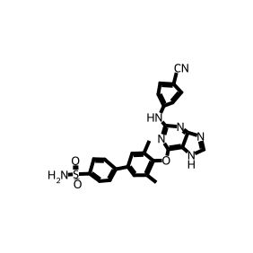 Cc1cc(-c2ccc(S(N)(=O)=O)cc2)cc(C)c1Oc1nc(Nc2ccc(C#N)cc2)nc2nc[nH]c12